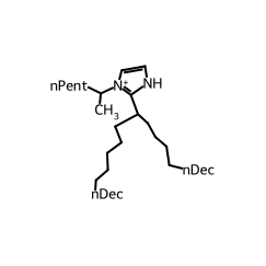 CCCCCCCCCCCCCCCC(CCCCCCCCCCCCCC)c1[nH]cc[n+]1C(C)CCCCC